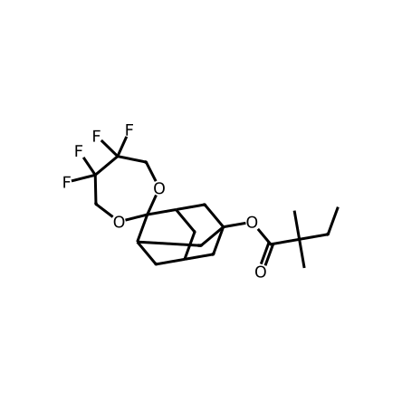 CCC(C)(C)C(=O)OC12CC3CC(C1)C1(OCC(F)(F)C(F)(F)CO1)C(C3)C2